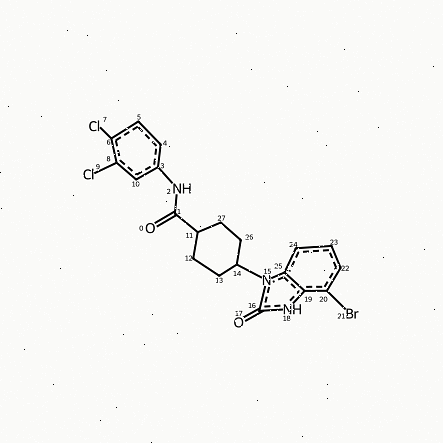 O=C(Nc1ccc(Cl)c(Cl)c1)C1CCC(n2c(=O)[nH]c3c(Br)cccc32)CC1